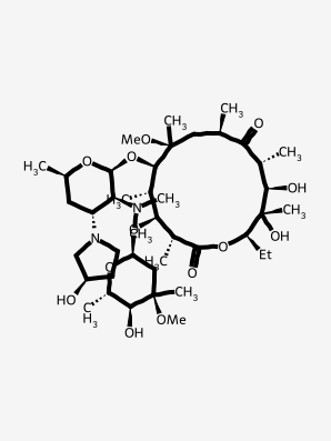 CC[C@H]1OC(=O)[C@H](C)[C@@H](O[C@H]2C[C@@](C)(OC)[C@@H](O)[C@H](C)O2)[C@H](C)[C@@H](O[C@@H]2O[C@H](C)C[C@@H](N3CC[C@@H](O)C3)[C@@H]2N(C)C)[C@@](C)(OC)C[C@@H](C)C(=O)[C@H](C)[C@@H](O)[C@]1(C)O